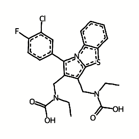 CCN(Cc1c(CN(CC)C(=O)O)c2sc3ccccc3n2c1-c1ccc(F)c(Cl)c1)C(=O)O